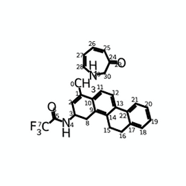 CC1=CC(NC(=O)C(F)(F)F)Cc2c1ccc1c2CCc2ccccc2-1.O=C1C=CC=CNC1